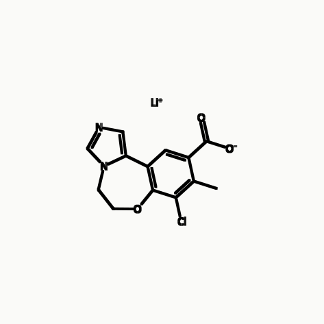 Cc1c(C(=O)[O-])cc2c(c1Cl)OCCn1cncc1-2.[Li+]